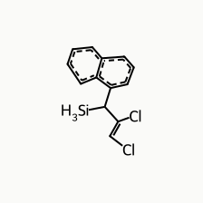 [SiH3]C(C(Cl)=CCl)c1cccc2ccccc12